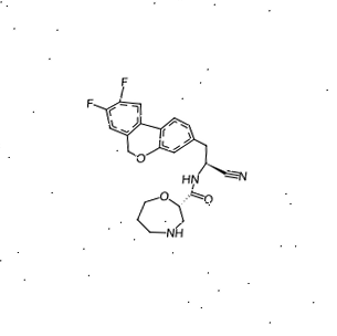 N#C[C@H](Cc1ccc2c(c1)OCc1cc(F)c(F)cc1-2)NC(=O)[C@@H]1CNCCCO1